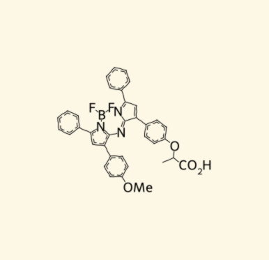 COc1ccc(-c2cc(-c3ccccc3)n(B(F)F)c2/N=C2\N=C(c3ccccc3)C=C2c2ccc(OC(C)C(=O)O)cc2)cc1